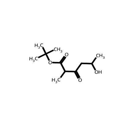 CC(O)CC(=O)C(C)C(=O)OC(C)(C)C